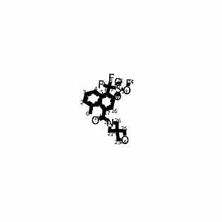 Cc1cccc2c(C(F)(F)S(=O)(=O)OF)ccc(C(=O)N3CC4(COC4)C3)c12